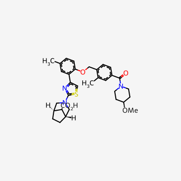 COC1CCN(C(=O)c2ccc(COc3ccc(C)cc3-c3csc(N4C[C@@H]5CC[C@@H](C4)C5C(=O)O)n3)c(C)c2)CC1